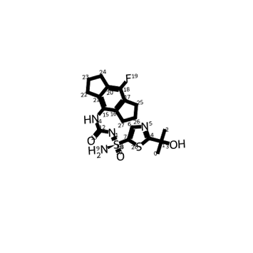 CC(C)(O)c1ncc([S@](N)(=O)=NC(=O)Nc2c3c(c(F)c4c2CCC4)CCC3)s1